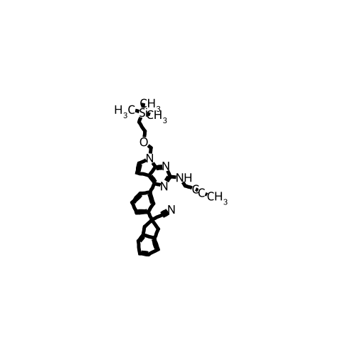 CCCCNc1nc(-c2cccc(C3(C#N)Cc4ccccc4C3)c2)c2ccn(COCC[Si](C)(C)C)c2n1